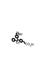 CC/C(=C(\c1ccc(C=CC(=O)O)cc1)c1ccc2cn[nH]c2c1)c1ccccc1